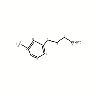 [CH2]CCCCCCCc1cccc(C)c1